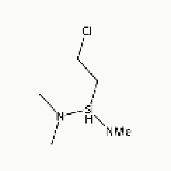 CN[SiH](CCCl)N(C)C